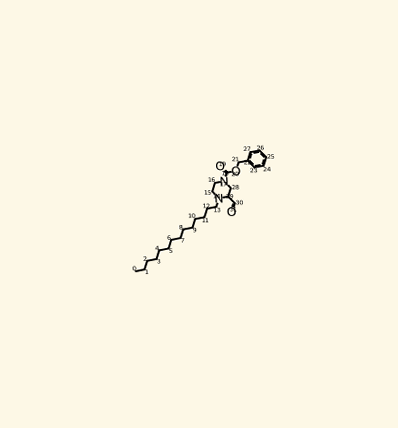 CCCCCCCCCCCCCCN1CCN(C(=O)OCc2ccccc2)CC1C=O